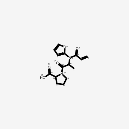 C=CC(=O)N(c1ccco1)C(C)C(=O)N1CCCC1C(=O)O